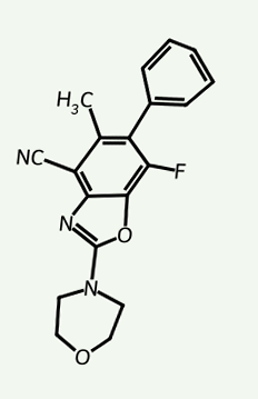 Cc1c(-c2ccccc2)c(F)c2oc(N3CCOCC3)nc2c1C#N